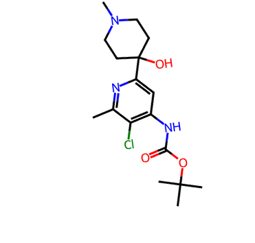 Cc1nc(C2(O)CCN(C)CC2)cc(NC(=O)OC(C)(C)C)c1Cl